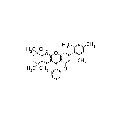 Cc1cc(C)c(-c2cc3c4c(c2)Oc2cc5c(cc2B4c2ccccc2O3)C(C)(C)CCC5(C)C)c(C)c1